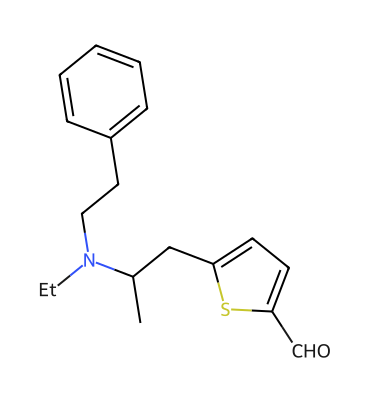 CCN(CCc1ccccc1)C(C)Cc1ccc(C=O)s1